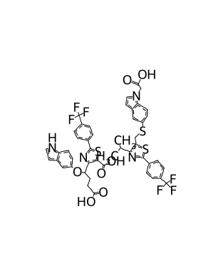 CC(C)c1nc(-c2ccc(C(F)(F)F)cc2)sc1CSc1ccc2c(ccn2CC(=O)O)c1.O=C(O)CCC(Oc1ccc2[nH]ccc2c1)c1nc(-c2ccc(C(F)(F)F)cc2)sc1C(=O)O